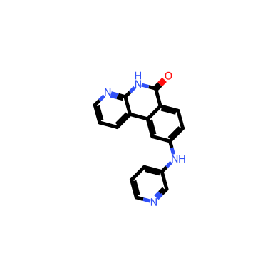 O=c1[nH]c2ncccc2c2cc(Nc3cccnc3)ccc12